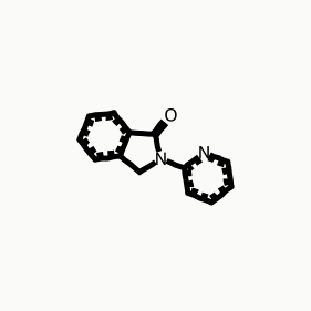 O=C1c2ccccc2CN1c1ccccn1